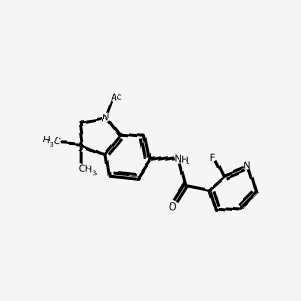 CC(=O)N1CC(C)(C)c2ccc(NC(=O)c3cccnc3F)cc21